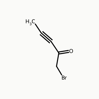 CC#CC(=O)CBr